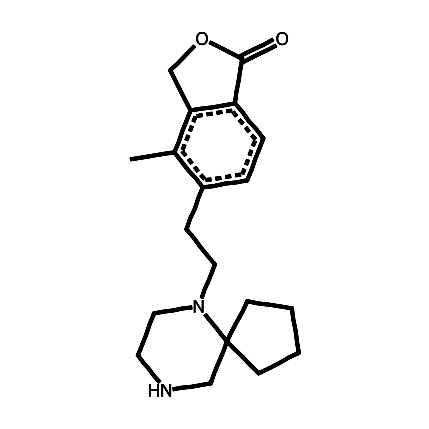 Cc1c(CCN2CCNCC23CCCC3)ccc2c1COC2=O